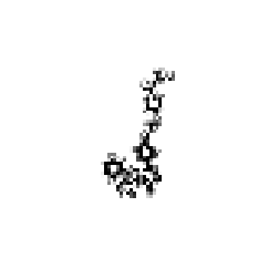 CC(C)(C)OC(=O)[C@H](CN(N=S(=O)=O)C(=O)c1ccc(OCCOC2CCN(C(=O)OC(C)(C)C)CC2)cc1)c1ccccc1